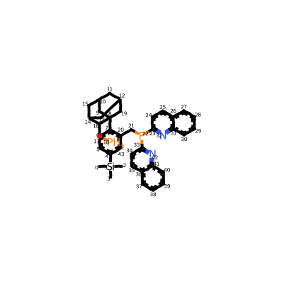 C[Si](C)(C)c1ccc(C23CC4CC(CC(C4)C2CP)C3)c(CP(c2ccc3ccccc3n2)c2ccc3ccccc3n2)c1